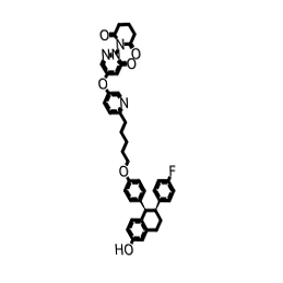 O=C1CCCC(=O)N1n1ncc(Oc2ccc(CCCCCOc3ccc([C@@H]4c5ccc(O)cc5CC[C@@H]4c4ccc(F)cc4)cc3)nc2)cc1=O